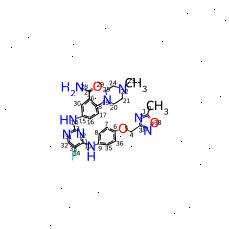 Cc1nc(COc2ccc(Nc3nc(Nc4ccc(N5CCN(C)CC5)c(C(N)=O)c4)ncc3F)cc2)no1